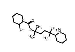 CC(C)C1CCCCN1C(=O)OC(C)(C)CCC(C)(C)C1CCCCN1